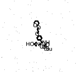 C=C(C(NC(=O)OC(C)(C)C)c1ccc(OCCOC2CCCCO2)cc1)N1CC(O)C1